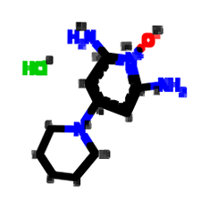 Cl.Nc1cc(N2CCCCC2)cc(N)[n+]1[O-]